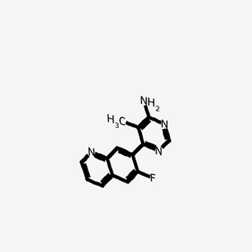 Cc1c(N)ncnc1-c1cc2ncccc2cc1F